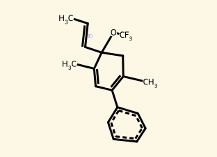 C/C=C/C1(OC(F)(F)F)CC(C)=C(c2ccccc2)C=C1C